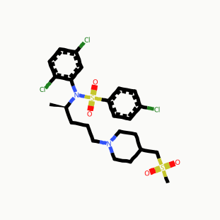 C[C@H](CCCN1CCC(CS(C)(=O)=O)CC1)N(c1cc(Cl)ccc1Cl)S(=O)(=O)c1ccc(Cl)cc1